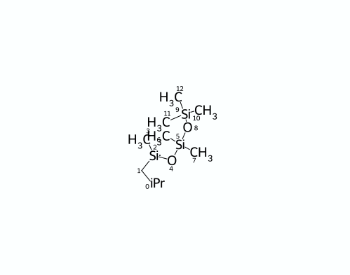 CC(C)C[Si](C)O[Si](C)(C)O[Si](C)(C)C